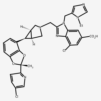 CCn1cncc1Cn1c(CN2C[C@@H]3[C@H](C2)[C@@H]3c2cccc3c2O[C@](C)(c2ccc(Cl)cn2)O3)nc2c(Cl)cc(C(=O)O)cc21